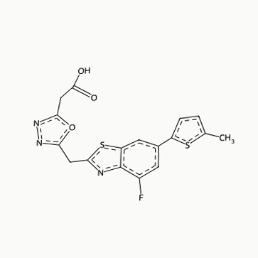 Cc1ccc(-c2cc(F)c3nc(Cc4nnc(CC(=O)O)o4)sc3c2)s1